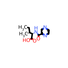 CC[C@@H](C)[C@H](NC(=O)c1cnccn1)C(=O)O